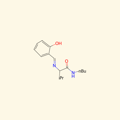 CCCCNC(=O)C(N=Cc1ccccc1O)C(C)C